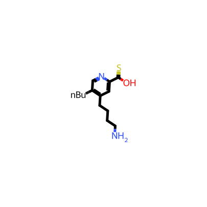 CCCCc1cnc(C(O)=S)cc1CCCCN